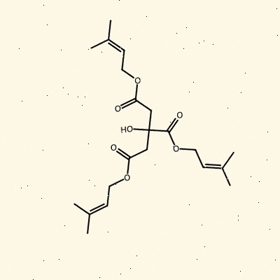 CC(C)=CCOC(=O)CC(O)(CC(=O)OCC=C(C)C)C(=O)OCC=C(C)C